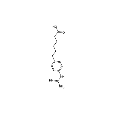 N=C(N)Nc1ccc(CCCCCC(=O)O)cc1